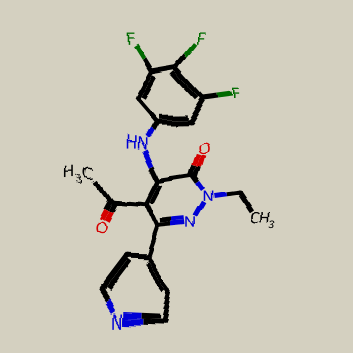 CCn1nc(-c2ccncc2)c(C(C)=O)c(Nc2cc(F)c(F)c(F)c2)c1=O